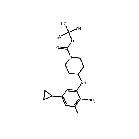 CC(C)(C)OC(=O)N1CCC(Nc2cc(C3CC3)cc(F)c2N)CC1